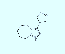 C1CCc2[nH]nc(C3CCOC3)c2CC1